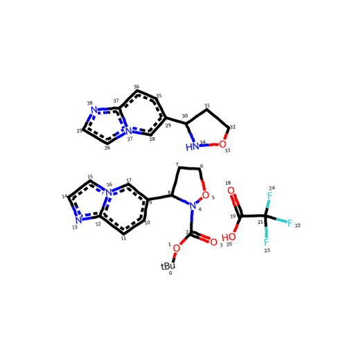 CC(C)(C)OC(=O)N1OCCC1c1ccc2nccn2c1.O=C(O)C(F)(F)F.c1cn2cc(C3CCON3)ccc2n1